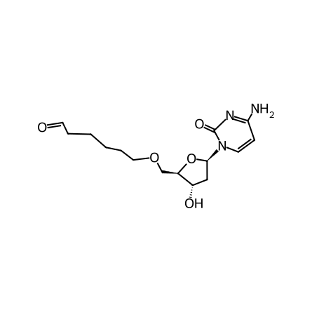 Nc1ccn([C@H]2C[C@H](O)[C@@H](COCCCCCC=O)O2)c(=O)n1